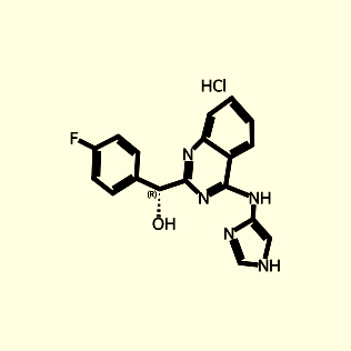 Cl.O[C@H](c1ccc(F)cc1)c1nc(Nc2c[nH]cn2)c2ccccc2n1